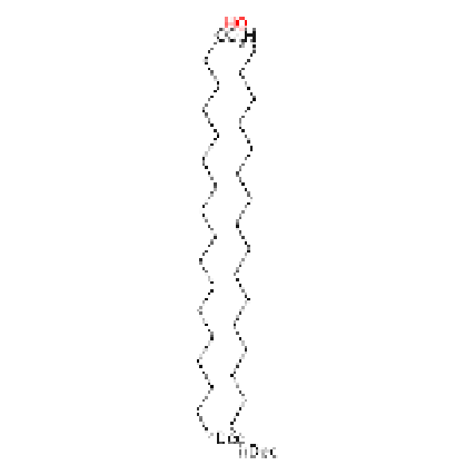 CCCCCCCCCCCCCCCCCCCCCCCCCC(=O)O.CCCCCCCCCCCCCCCCCCCCCCCCCCO